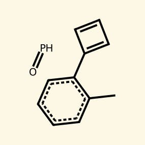 Cc1ccccc1C1=CC=C1.O=P